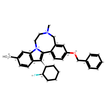 CN1CCn2c(c([C@@H]3CCCC[C@H]3F)c3ccc(C(=O)O)cc32)-c2ccc(OCc3ccccc3)cc2C1